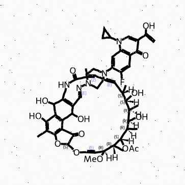 C=C(O)c1cn(C2CC2)c2cc(N3CCN(/N=C/C4=C5NC(=O)/C(C)=C\C=C\[C@H](C)[C@H](O)[C@@H](C)[C@@H](O)[C@@H](C)[C@H](OC(C)=O)[C@H](C)[C@@H](OC)/C=C/O[C@@]6(C)Oc7c(C)c(O)c(c(c7C6=O)C4O)C5O)CC3)c(F)cc2c1=O